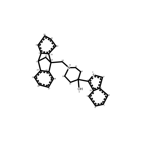 OC1(c2scc3ccccc23)CCN(CC23CC(c4ccccc42)c2ccccc23)CC1